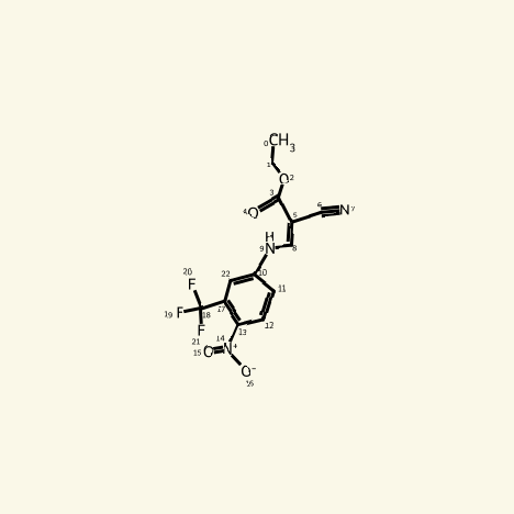 CCOC(=O)C(C#N)=CNc1ccc([N+](=O)[O-])c(C(F)(F)F)c1